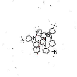 CC(C)(C)c1ccc2c(c1)c1cc(C(C)(C)C)ccc1n2-c1cccc(C#N)c1-c1nc(-c2ccccc2)nc(-c2c(-c3ccccc3C#N)cccc2-n2c3ccc(C(C)(C)C)cc3c3cc(C(C)(C)C)ccc32)n1